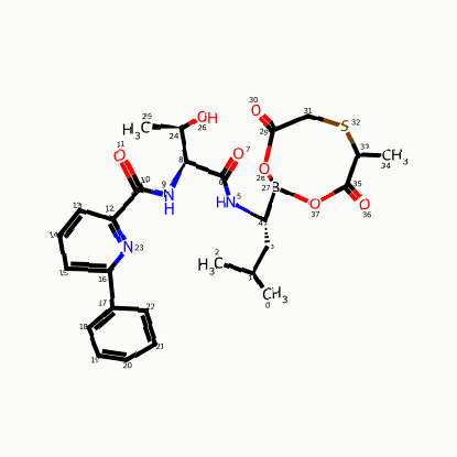 CC(C)C[C@H](NC(=O)[C@@H](NC(=O)c1cccc(-c2ccccc2)n1)[C@@H](C)O)B1OC(=O)CSC(C)C(=O)O1